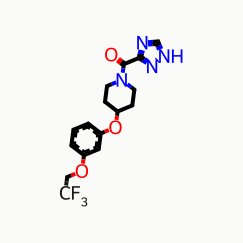 O=C(c1nc[nH]n1)N1CCC(Oc2cccc(OCC(F)(F)F)c2)CC1